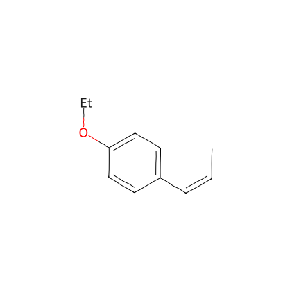 C/C=C\c1ccc(OCC)cc1